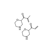 C=C(C)C(=O)C1CNCCO1.C=CC(=O)C1CNCCO1